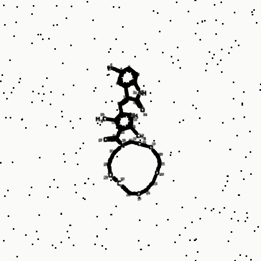 CCc1ccc2c(c1)/C(=C/c1[nH]c(C)c(C(=O)N3CCOCCOCCOCCOCC3)c1C)C(=O)N2